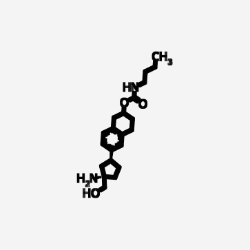 CCCCNC(=O)OC1CCc2cc([C@H]3CC[C@@](N)(CO)C3)ccc2C1